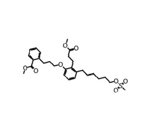 COC(=O)CCc1c(CCCCCCOS(C)(=O)=O)cccc1OCCCc1ccccc1C(=O)OC